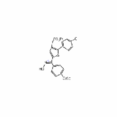 CCOC(=O)Cc1cc(/C(=N/O)c2ccc(OC)cc2)sc1-c1ccc(Cl)cc1